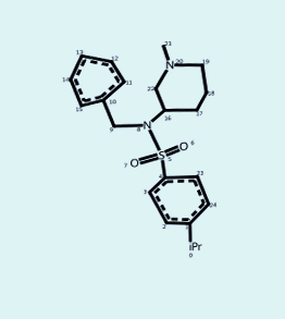 CC(C)c1ccc(S(=O)(=O)N(Cc2ccccc2)C2CCCN(C)C2)cc1